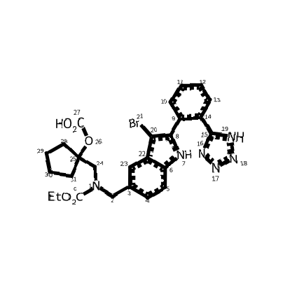 CCOC(=O)N(Cc1ccc2[nH]c(-c3ccccc3-c3nnn[nH]3)c(Br)c2c1)CC1(OC(=O)O)CCCC1